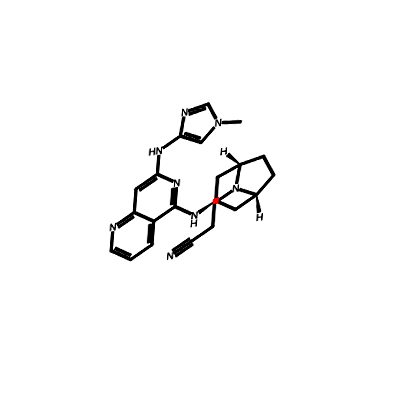 Cn1cnc(Nc2cc3ncccc3c(N[C@@H]3C[C@H]4CC[C@@H](C3)N4CCC#N)n2)c1